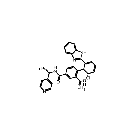 C=C(O)c1cc(C(=O)NC(CCC)c2ccncc2)ccc1C1C(c2nc3ccccc3[nH]2)=CC=C[C@@H]1Cl